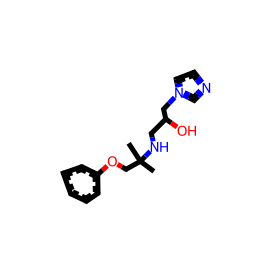 CC(C)(COc1ccccc1)NCC(O)Cn1ccnc1